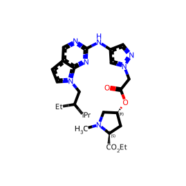 CCOC(=O)[C@@H]1C[C@@H](OC(=O)Cn2cc(Nc3ncc4ccn(CC(CC)C(C)C)c4n3)cn2)CN1C